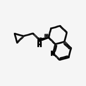 c1cnc2c(c1)CCC[C@@H]2NCC1CC1